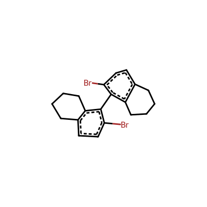 Brc1ccc2c(c1-c1c(Br)ccc3c1CCCC3)CCCC2